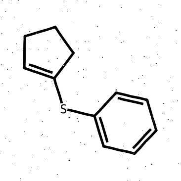 [c]1ccccc1SC1=CCCC1